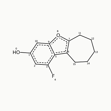 Oc1cc(F)c2c3c(oc2c1)CCCCC3